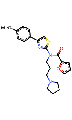 COc1ccc(-c2csc(N(CCCN3CCCC3)C(=O)c3ccco3)n2)cc1